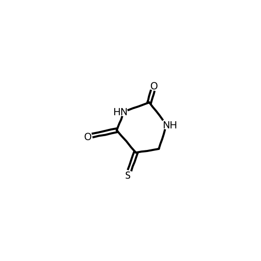 O=C1NCC(=S)C(=O)N1